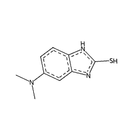 CN(C)c1ccc2[nH]c(S)nc2c1